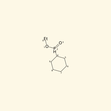 CCO[PH](=O)C1CCCCC1